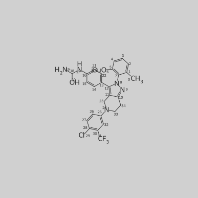 Cc1cccc(OCC(C)C)c1-n1nc2c(c1-c1ccc(NC(N)O)cc1)CN(c1ccc(Cl)c(C(F)(F)F)c1)CC2